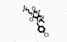 Cc1nc2c(c(=O)n(CCN(C)C)c(=O)n2C)n1Cc1ccc(Cl)cc1